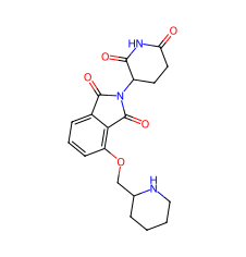 O=C1CCC(N2C(=O)c3cccc(OCC4CCCCN4)c3C2=O)C(=O)N1